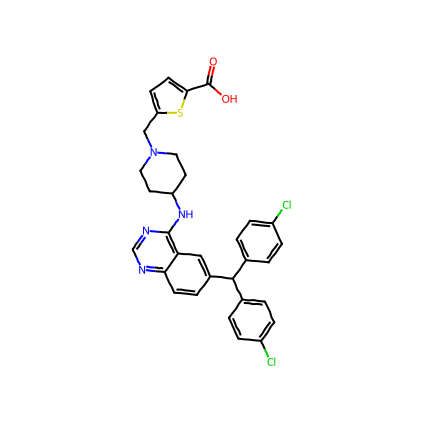 O=C(O)c1ccc(CN2CCC(Nc3ncnc4ccc(C(c5ccc(Cl)cc5)c5ccc(Cl)cc5)cc34)CC2)s1